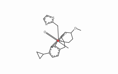 COC1CCC2(CC1)Cc1ccc(C3CC3)cc1C21NC(=O)N(Cc2nccs2)C1=O